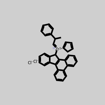 CC(/[CH]=[Zr+2](\[C]1=CC=CC1)[CH]1c2ccccc2-c2c1c1ccccc1c1ccccc21)c1ccccc1.[Cl-].[Cl-]